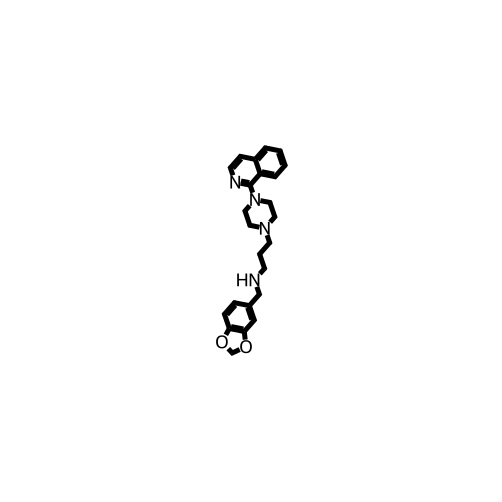 c1ccc2c(N3CCN(CCCNCc4ccc5c(c4)OCO5)CC3)nccc2c1